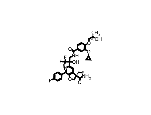 C[C@@H](O)COc1ccc(C(=O)NCC(O)(c2cc3c(c(-c4ccc(F)cc4)n2)OC[C@@]3(CF)C(N)=O)C(F)(F)F)cc1OC1CC1